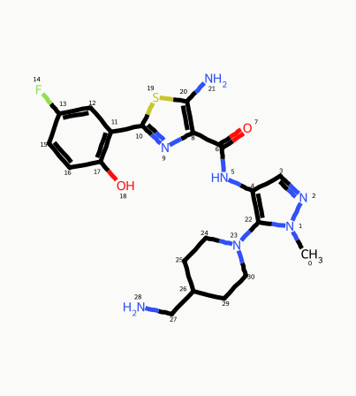 Cn1ncc(NC(=O)c2nc(-c3cc(F)ccc3O)sc2N)c1N1CCC(CN)CC1